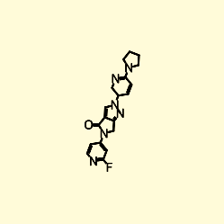 O=C1c2cn(C3C=CC(N4CCCC4)=NC3)nc2CN1c1ccnc(F)c1